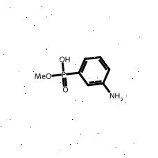 COP(=O)(O)c1cccc(N)c1